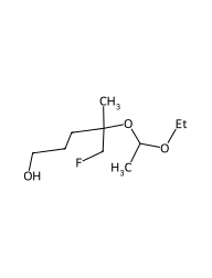 CCOC(C)OC(C)(CF)CCCO